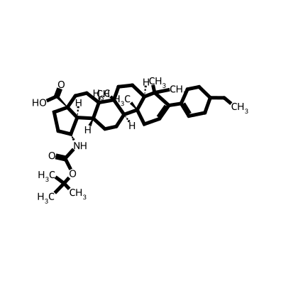 CCC1CC=C(C2=CC[C@]3(C)[C@H]4CC[C@@H]5[C@H]6[C@H](NC(=O)OC(C)(C)C)CC[C@]6(C(=O)O)CC[C@@]5(C)[C@]4(C)CC[C@H]3C2(C)C)CC1